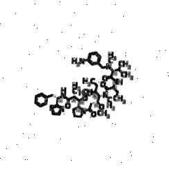 CC[C@H](NC(=O)[C@H](C(C)C)N(C)Cc1cccc(N)c1)C(=O)N(C)[C@@H]([C@@H](C)CC)[C@@H](CC(=O)N1CCC[C@H]1[C@H](OC)[C@@H](C)C(=O)N[C@@H](Cc1ccccc1)c1nccs1)OC